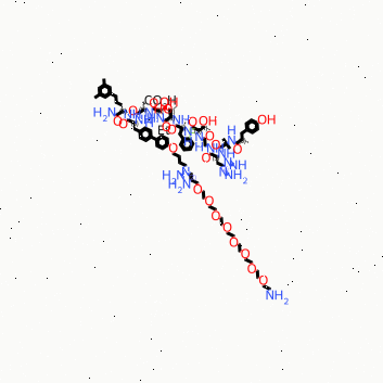 CCc1cc(OCCCCN(N)/C=C(\N)COCCOCCOCCOCCOCCOCCOCCOCCN)ccc1-c1ccc(C[C@H](NC(=O)[C@H](CC(=O)O)NC(=O)[C@H](CO)NC(=O)[C@@H](NC(=O)[C@](C)(Cc2ccccc2F)NC(=O)[C@@H](NC(=O)CNC(=O)[C@H](C/C(N=N)=N/N)NC(=O)C(C)(C)NC(=O)[C@@H](C)Cc2ccc(O)cc2)[C@@H](C)O)[C@@H](C)O)C(=O)N[C@@H](CCCc2cc(C)cc(C)c2)C(N)=O)cc1